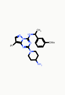 COc1cccc(C(C)Nc2nc(N3CCC(N)CC3)nc3c(C(C)C)cnn23)c1